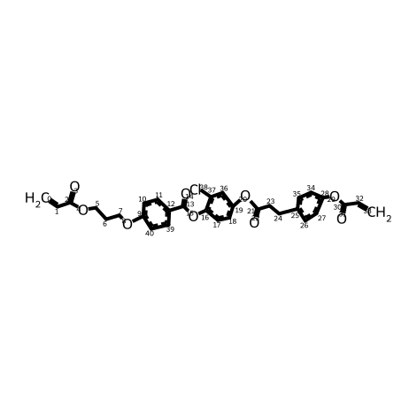 C=CC(=O)OCCCOc1ccc(C(=O)Oc2ccc(OC(=O)CCc3ccc(OC(=O)C=C)cc3)cc2Cl)cc1